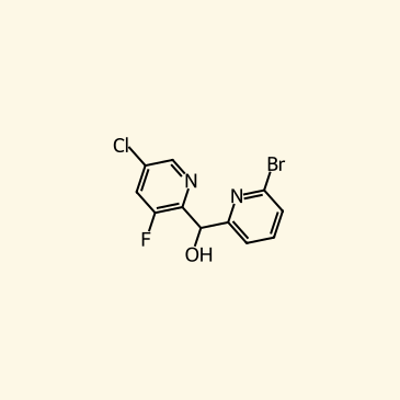 OC(c1cccc(Br)n1)c1ncc(Cl)cc1F